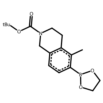 Cc1c(B2OCCO2)ccc2c1CCN(C(=O)OC(C)(C)C)C2